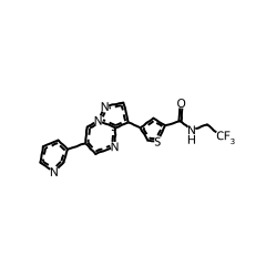 O=C(NCC(F)(F)F)c1cc(-c2cnn3cc(-c4cccnc4)cnc23)cs1